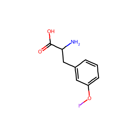 NC(Cc1cccc(OI)c1)C(=O)O